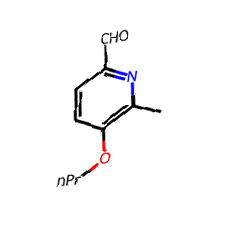 CCCOc1ccc(C=O)nc1C